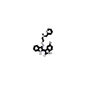 CN(CCO/N=C1/C(=C2/C(=O)Nc3ccc(Br)cc32)Nc2ccccc21)Cc1ccccn1